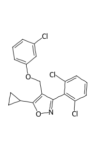 Clc1cccc(OCc2c(-c3c(Cl)cccc3Cl)noc2C2CC2)c1